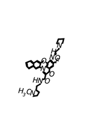 CN1CCCC1CCNC(=O)c1cn2c3c(c(NC(=O)CCN4CCCC4)c(F)cc3c1=O)Oc1cc3ccccc3cc1-2